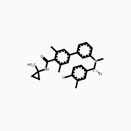 CC[C@H](c1ccc(Cl)c(C)c1)N(C)c1cccc(-c2cc(C)c(C(=O)NC3(C(=O)O)CC3)c(C)c2)c1